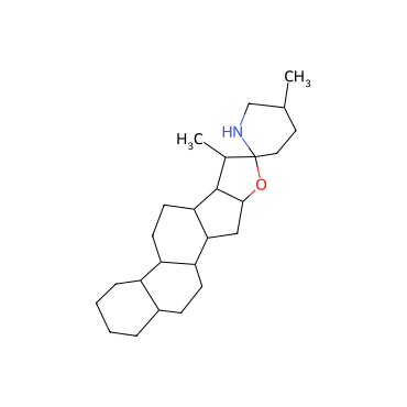 CC1CCC2(NC1)OC1CC3C4CCC5CCCCC5C4CCC3C1C2C